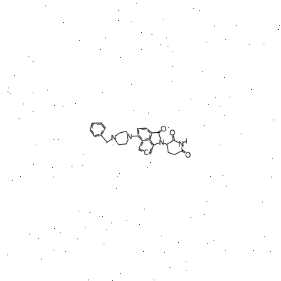 O=C1CCC(N2C(=O)c3ccc(N4CCN(Cc5ccccc5)CC4)c4cccc2c34)C(=O)N1I